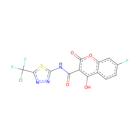 O=C(Nc1nnc(C(F)(F)Cl)s1)c1c(O)c2ccc(F)cc2oc1=O